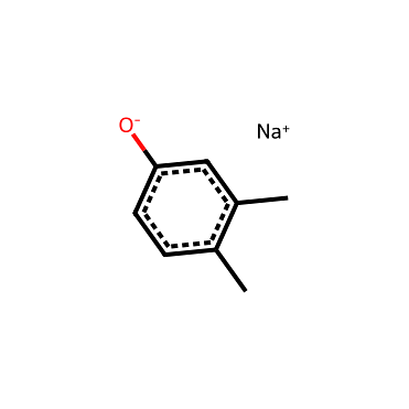 Cc1ccc([O-])cc1C.[Na+]